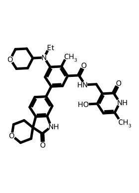 CCN(c1cc(-c2ccc3c(c2)NC(=O)C32CCOCC2)cc(C(=O)NCc2c(O)cc(C)[nH]c2=O)c1C)C1CCOCC1